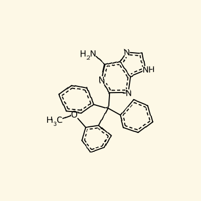 COc1ccccc1C(c1ccccc1)(c1ccccc1)c1nc(N)c2nc[nH]c2n1